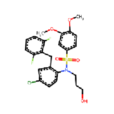 COc1ccc(S(=O)(=O)N(CCCO)c2ccc(Cl)cc2Cc2c(F)cccc2F)cc1OC